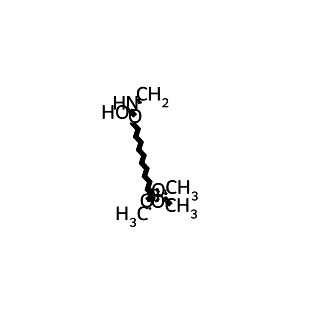 [CH2]CNC(O)OCCCCCCCCCCC[Si](OCC)(OCC)OCC